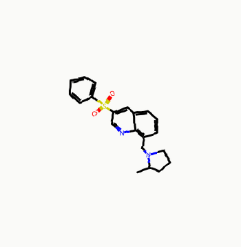 CC1CCCN1Cc1cccc2cc(S(=O)(=O)c3ccccc3)cnc12